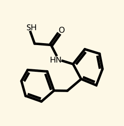 O=C(CS)Nc1ccccc1Cc1ccccc1